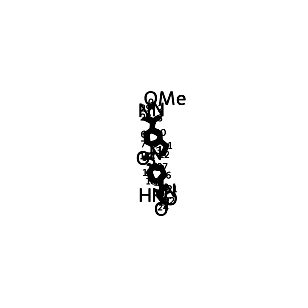 COc1ncc(-c2ccc3c(c2)CCN3[S+]([O-])c2ccc(-c3noc(=O)[nH]3)cc2)cn1